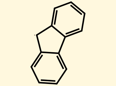 [CH]1c2ccccc2-c2ccccc21